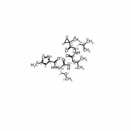 COC[C@H](NC(=O)c1cc(C)on1)C(=O)N[C@H](C(=O)N[C@@H](CC(C)C)C(=O)C1(C)CC1)C(C)C